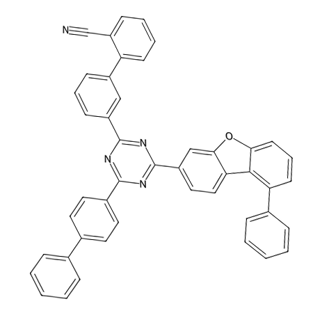 N#Cc1ccccc1-c1cccc(-c2nc(-c3ccc(-c4ccccc4)cc3)nc(-c3ccc4c(c3)oc3cccc(-c5ccccc5)c34)n2)c1